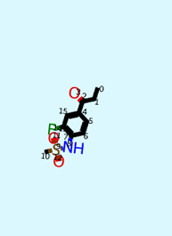 CCC(=O)c1ccc(NS(C)(=O)=O)c(F)c1